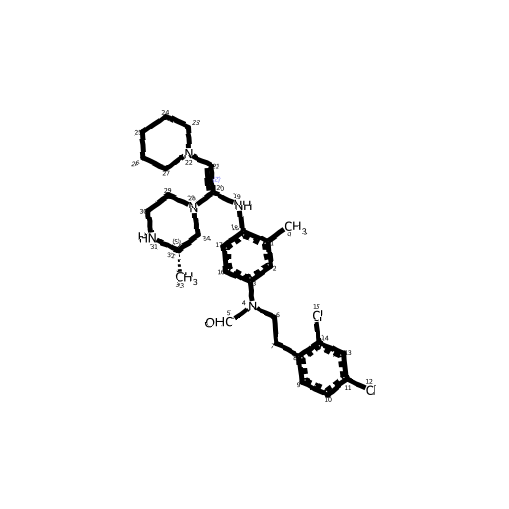 Cc1cc(N(C=O)CCc2ccc(Cl)cc2Cl)ccc1N/C(=C/N1CCCCC1)N1CCN[C@@H](C)C1